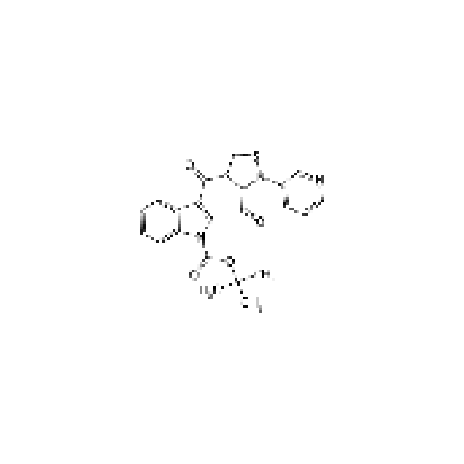 CC(C)(C)OC(=O)n1cc(C(=O)C2CSN(c3cccnc3)C2C=O)c2ccccc21